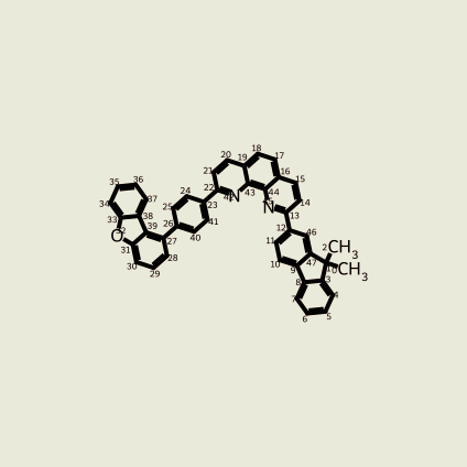 CC1(C)c2ccccc2-c2ccc(-c3ccc4ccc5ccc(-c6ccc(-c7cccc8oc9ccccc9c78)cc6)nc5c4n3)cc21